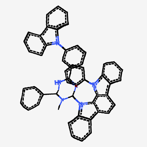 CN1C(c2ccccc2)NC(c2cccc(-n3c4ccccc4c4ccccc43)c2)=NC1n1c2ccccc2c2ccc3c4ccccc4n(-c4ccccc4)c3c21